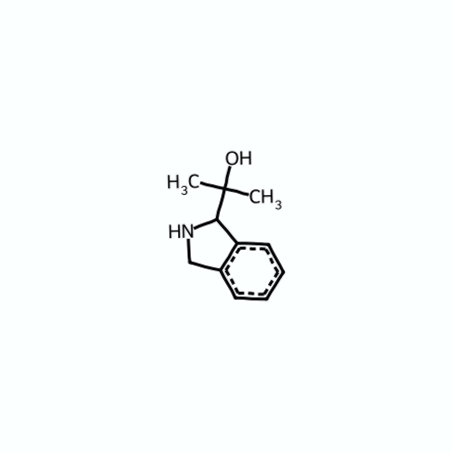 CC(C)(O)C1NCc2ccccc21